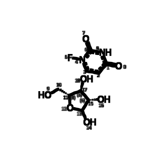 O=c1ccn(F)c(=O)[nH]1.OC[C@H]1OC(O)[C@@H](O)[C@@H]1O